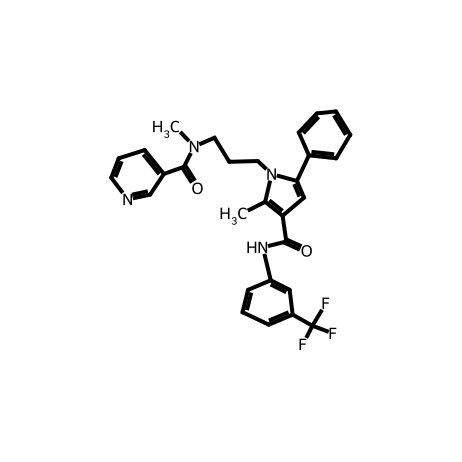 Cc1c(C(=O)Nc2cccc(C(F)(F)F)c2)cc(-c2ccccc2)n1CCCN(C)C(=O)c1cccnc1